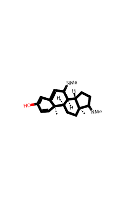 CNC1C=C2C=C(O)C=C[C@]2(C)[C@@H]2CC[C@]3(C)C(NC)CC[C@H]3[C@H]12